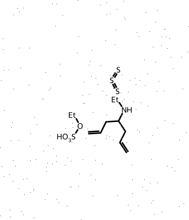 C=CCC(CC=C)NCC.CCOS(=O)(=O)O.S=S=S